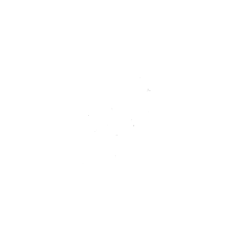 CCOC(=O)C(CC(Cl)CC(Cl)(Cl)Cl)C(=O)OC